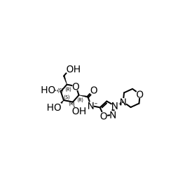 O=C([N-]c1c[n+](N2CCOCC2)no1)[C@@H]1O[C@H](CO)[C@@H](O)[C@H](O)[C@H]1O